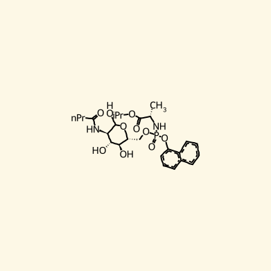 CCCC(=O)N[C@H]1C(O)O[C@H](COP(=O)(N[C@@H](C)C(=O)OC(C)C)Oc2cccc3ccccc23)[C@@H](O)[C@@H]1O